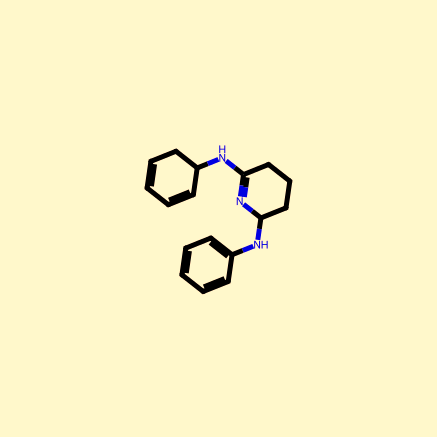 C1=CCC(NC2=NC(Nc3ccccc3)CCC2)C=C1